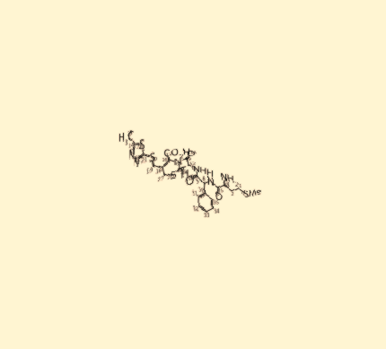 CSCC[C@H](N)C(=O)NC(C(=O)NC1C(=O)N2C(C(=O)O)=C(CSc3nnc(C)s3)CS[C@@H]12)c1ccccc1